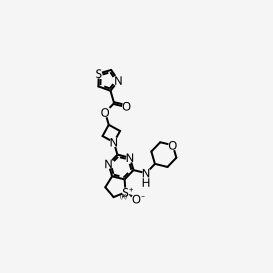 O=C(OC1CN(c2nc3c(c(NC4CCOCC4)n2)[S@@+]([O-])CC3)C1)c1cscn1